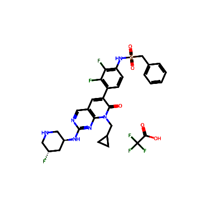 O=C(O)C(F)(F)F.O=c1c(-c2ccc(NS(=O)(=O)Cc3ccccc3)c(F)c2F)cc2cnc(N[C@@H]3CNC[C@@H](F)C3)nc2n1CC1CC1